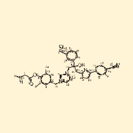 CNCC(=O)Oc1c(C)cc(C[n+]2cnn(C[C@](O)(c3cccc(F)c3)[C@@H](C)c3nc(-c4ccc(C#N)cc4)cs3)c2)cc1C.[Cl-]